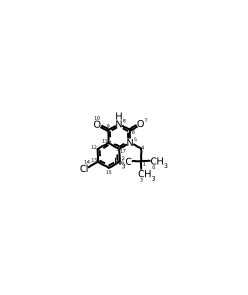 CC(C)(C)Cn1c(=O)[nH]c(=O)c2cc(Cl)ccc21